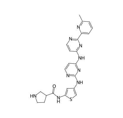 Cc1cccc(-c2nccc(Nc3ccnc(Nc4csc(NC(=O)C5CCNC5)c4)n3)n2)n1